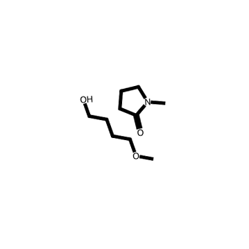 CN1CCCC1=O.COCCCCO